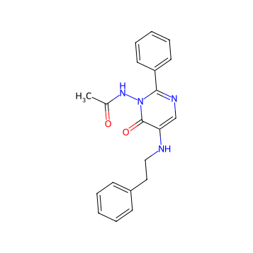 CC(=O)Nn1c(-c2ccccc2)ncc(NCCc2ccccc2)c1=O